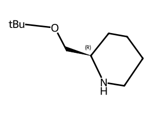 CC(C)(C)OC[C@H]1CCCCN1